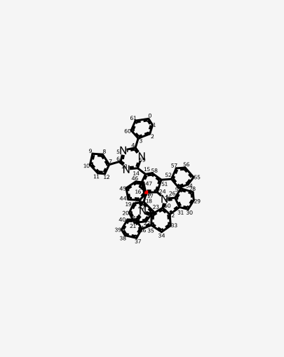 c1ccc(-c2nc(-c3ccccc3)nc(-c3cc(-c4ccccc4)c(-n4c5ccccc5c5ccc6c7ccccc7n(-c7ccccc7)c6c54)c(-c4ccccc4)c3)n2)cc1